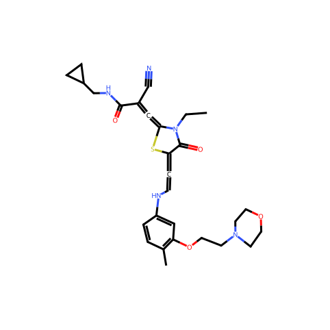 CCn1c(=C=C(C#N)C(=O)NCC2CC2)sc(=C=CNc2ccc(C)c(OCCN3CCOCC3)c2)c1=O